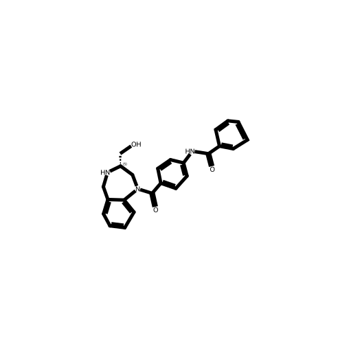 O=C(Nc1ccc(C(=O)N2C[C@@H](CO)NCc3ccccc32)cc1)c1ccccc1